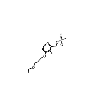 CCOCCCOc1ccnc(COS(C)(=O)=O)c1C